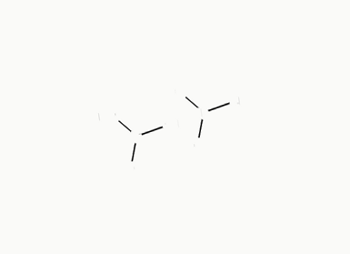 OP(O)S.OP(O)S